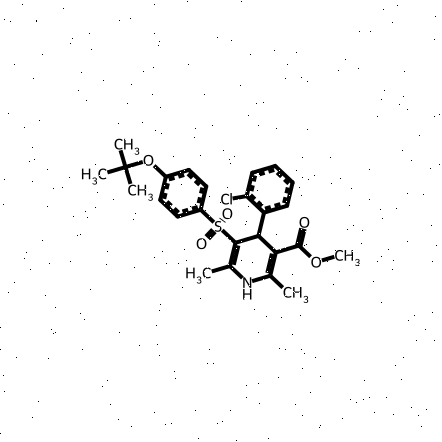 COC(=O)C1=C(C)NC(C)=C(S(=O)(=O)c2ccc(OC(C)(C)C)cc2)C1c1ccccc1Cl